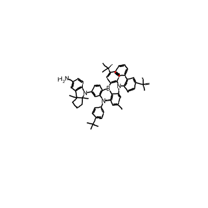 Cc1cc2c3c(c1)N(c1ccc(C(C)(C)C)cc1-c1ccccc1)c1ccc(C(C)(C)C)cc1B3c1ccc(N3c4ccc(N)cc4C4(C)CCCC34C)cc1N2c1ccc(C(C)(C)C)cc1